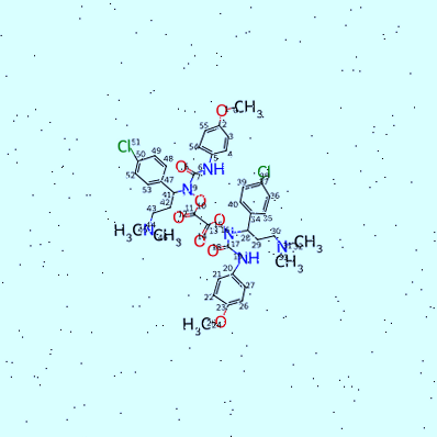 COc1ccc(NC(=O)N(OC(=O)C(=O)ON(C(=O)Nc2ccc(OC)cc2)C(CCN(C)C)c2ccc(Cl)cc2)C(CCN(C)C)c2ccc(Cl)cc2)cc1